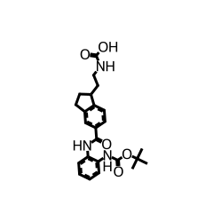 CC(C)(C)OC(=O)Nc1ccccc1NC(=O)c1ccc2c(c1)CCC2CCNC(=O)O